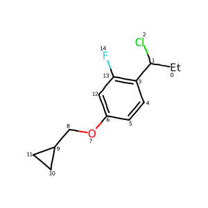 CCC(Cl)c1ccc(OCC2CC2)cc1F